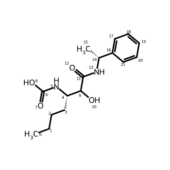 CCCC[C@H](NC(=O)O)C(O)C(=O)N[C@H](C)c1ccccc1